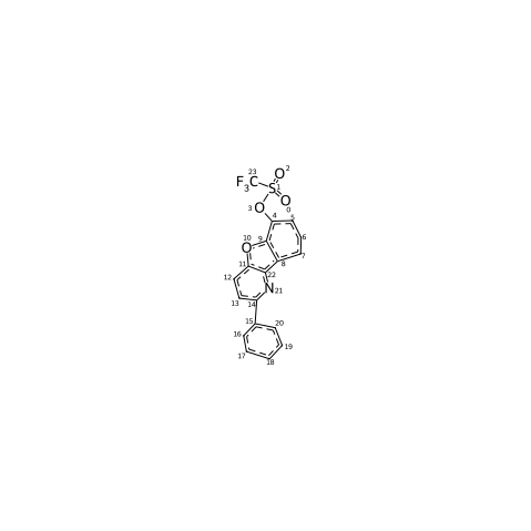 O=S(=O)(Oc1cccc2c1oc1ccc(-c3ccccc3)nc12)C(F)(F)F